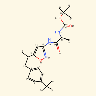 CC(Cc1ccc(C(C)(C)C)cc1)c1cc(NC(=O)[C@H](C)NC(=O)OC(C)(C)C)no1